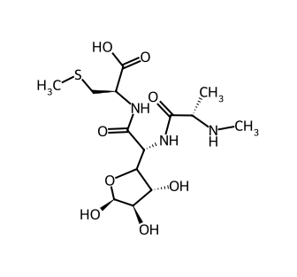 CN[C@@H](C)C(=O)N[C@@H](C(=O)N[C@@H](CSC)C(=O)O)C1O[C@H](O)[C@H](O)[C@H]1O